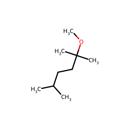 COC(C)(C)CCC(C)C